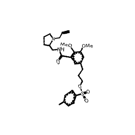 C=CCN1CCCC1CNC(=O)c1cc(CCCOS(=O)(=O)c2ccc(C)cc2)cc(OC)c1OC